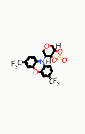 O=S1O[C@H]2[C@H](COC[C@@H]2N2c3ccc(C(F)(F)F)cc3Oc3cc(C(F)(F)F)ccc32)O1